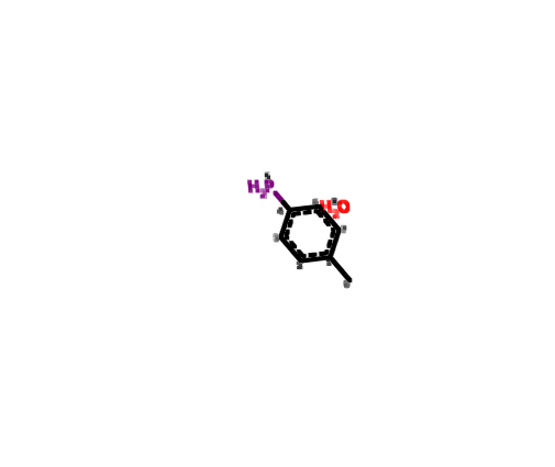 Cc1ccc(P)cc1.O